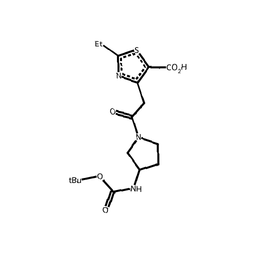 CCc1nc(CC(=O)N2CCC(NC(=O)OC(C)(C)C)C2)c(C(=O)O)s1